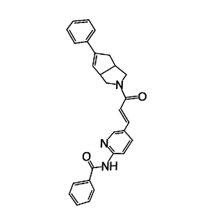 O=C(Nc1ccc(/C=C/C(=O)N2CC3C=C(c4ccccc4)CC3C2)cn1)c1ccccc1